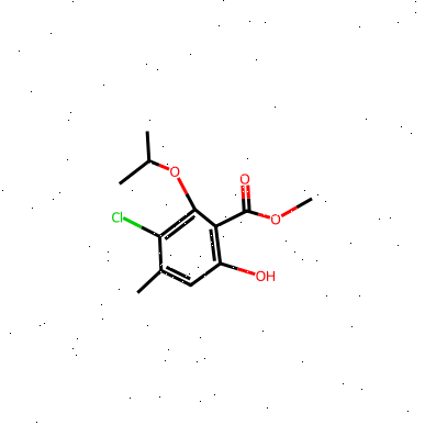 COC(=O)c1c(O)cc(C)c(Cl)c1OC(C)C